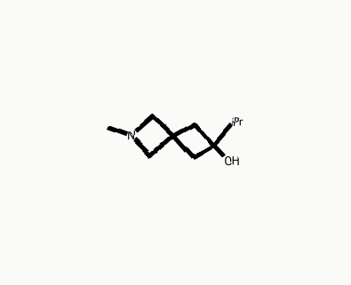 CC(C)C1(O)CC2(CN(C)C2)C1